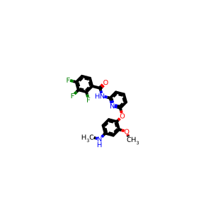 CNc1ccc(Oc2cccc(NC(=O)c3ccc(F)c(F)c3F)n2)c(OC)c1